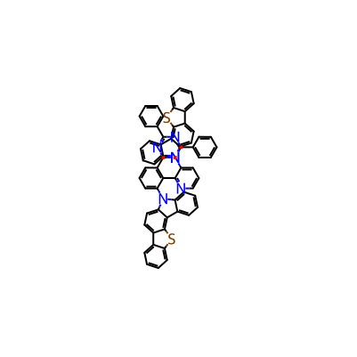 c1ccc(-c2nc(-c3ccccc3)nc(-c3cccc(-n4c5ccccc5c5c6sc7ccccc7c6ccc54)c3-c3ncccc3-n3c4ccccc4c4c5sc6ccccc6c5ccc43)n2)cc1